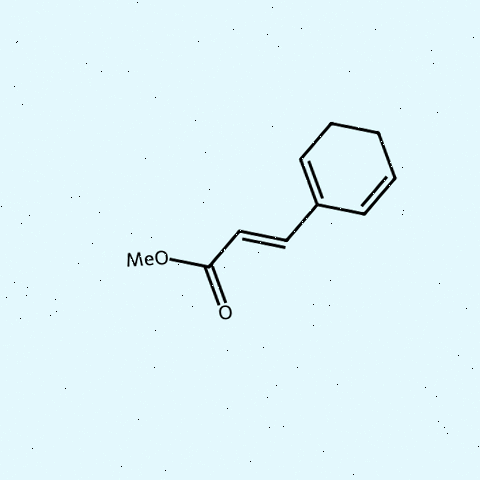 COC(=O)/C=C/C1=CCCC=C1